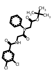 CC(C)(C)OC(=O)CN(C(=O)CNC(=O)c1ccc(Cl)c(Cl)c1)c1ccccc1